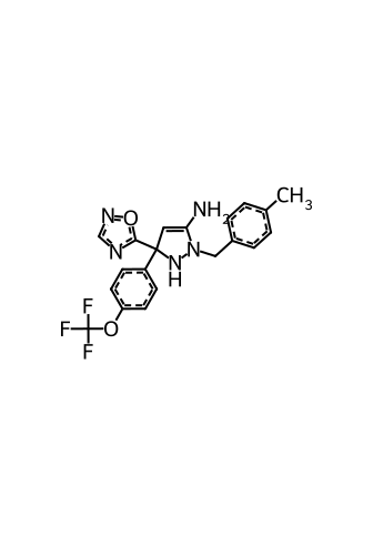 Cc1ccc(CN2NC(c3ccc(OC(F)(F)F)cc3)(c3ncno3)C=C2N)cc1